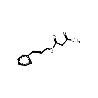 CC(=O)CC(=O)NCC=Cc1ccccc1